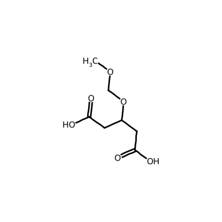 COCOC(CC(=O)O)CC(=O)O